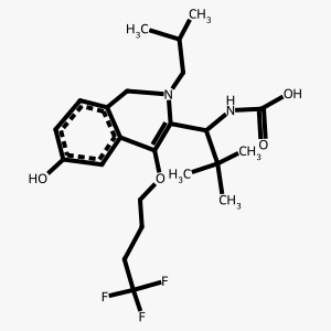 CC(C)CN1Cc2ccc(O)cc2C(OCCCC(F)(F)F)=C1C(NC(=O)O)C(C)(C)C